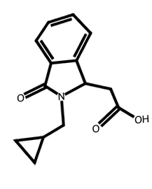 O=C(O)CC1c2ccccc2C(=O)N1CC1CC1